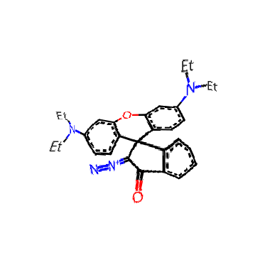 CCN(CC)c1ccc2c(c1)Oc1cc(N(CC)CC)ccc1C21C(=[N+]=[N-])C(=O)c2ccccc21